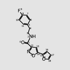 O=C(NCCc1ccc(F)cc1)c1cc(-c2ccco2)on1